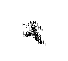 C=C(C)[C@H]1CC[C@@]2(C)S[P@](=S)(O[C@H]3[C@@H](F)[C@H](n4ccc(N)nc4=O)O[C@@H]3CO[Si](C)(C)C(C)(C)C)O[C@@H]2C1